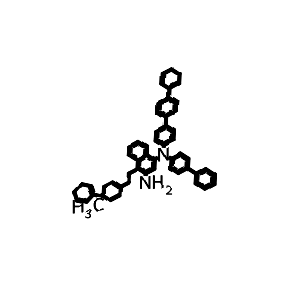 CC1(C2=CCCC=C2)C=CC(CCc2c(N)cc(N(c3ccc(-c4ccccc4)cc3)c3ccc(-c4ccc(C5=CCCC=C5)cc4)cc3)c3ccccc23)=CC1